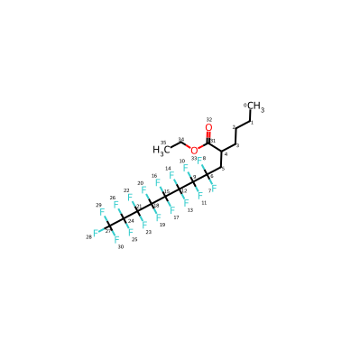 CCCCC(CC(F)(F)C(F)(F)C(F)(F)C(F)(F)C(F)(F)C(F)(F)C(F)(F)C(F)(F)F)C(=O)OCC